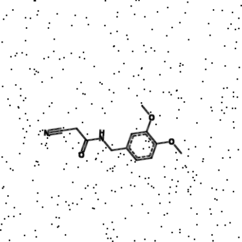 COc1ccc(CNC(=O)CC#N)cc1OC